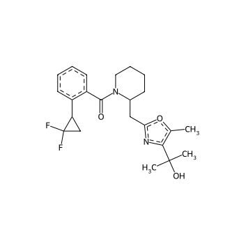 Cc1oc(CC2CCCCN2C(=O)c2ccccc2C2CC2(F)F)nc1C(C)(C)O